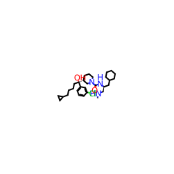 CNC[C@H](CC1CCCCC1)NC(=O)N1CCC[C@@H](C(O)(CCCCC2CC2)c2cccc(Cl)c2)C1